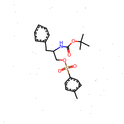 Cc1ccc(S(=O)(=O)OCC(Cc2ccccc2)NC(=O)OC(C)(C)C)cc1